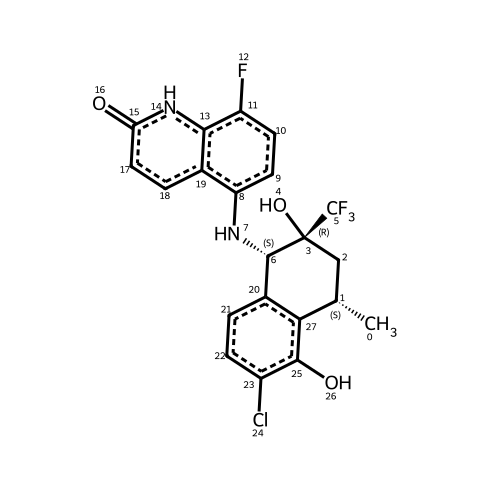 C[C@H]1C[C@](O)(C(F)(F)F)[C@@H](Nc2ccc(F)c3[nH]c(=O)ccc23)c2ccc(Cl)c(O)c21